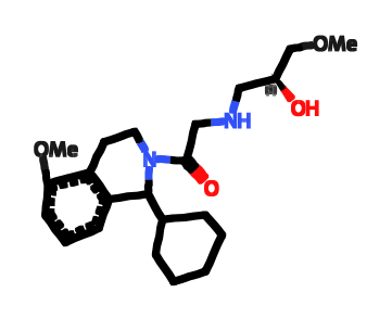 COC[C@@H](O)CNCC(=O)N1CCc2c(OC)cccc2C1C1CCCCC1